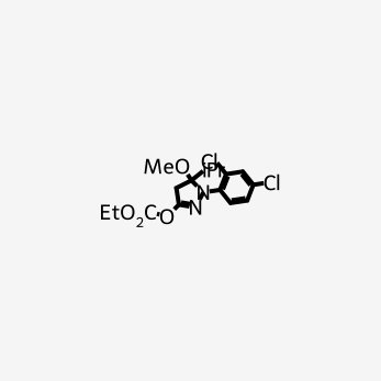 CCOC(=O)OC1=NN(c2ccc(Cl)cc2Cl)C(OC)(C(C)C)C1